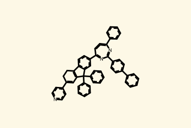 C1=CC(c2ccc3c(c2)C(c2ccccc2)(c2ccccc2)C2=C3CCC(c3ccncc3)=C2)=NC(c2ccc(-c3ccccc3)cc2)=NC=1c1ccccc1